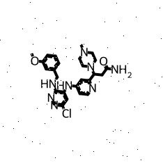 COc1cccc(CNc2nnc(Cl)cc2Nc2ccnc(C(CC(N)=O)N3CCN(C)CC3)c2)c1